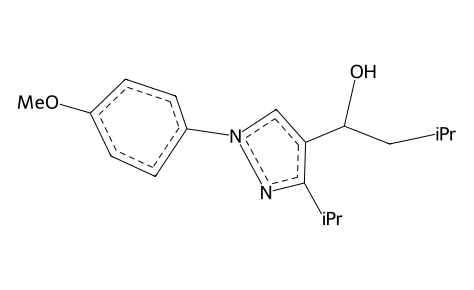 COc1ccc(-n2cc(C(O)CC(C)C)c(C(C)C)n2)cc1